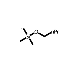 [CH2][Si](C)(C)OCCCC